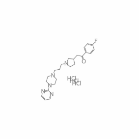 Cl.Cl.Cl.O=C(CC1CCN(CCCN2CCN(c3ncccn3)CC2)C1)c1ccc(F)cc1